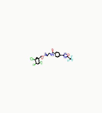 O=C(NCC=NOCc1cc(Cl)c(Cl)cc1Cl)c1ccc(-c2noc(C(F)(F)F)n2)cc1